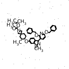 C[C@@H]1CC2(CC[C@@H]1Oc1ccc3c(-c4ccc(OCc5ccccc5)nc4OCc4ccccc4)nn(C)c3c1)CN(C(=O)OC(C)(C)C)C2